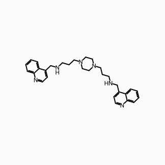 c1ccc2c(CNCCCN3CCN(CCCNCc4ccnc5ccccc45)CC3)ccnc2c1